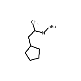 CCCC[N]C(C)CC1CCCC1